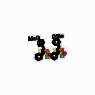 COc1ccc(Cc2sc3ccccc3c2S(=O)(=O)Cl)cc1.COc1ccc(Cc2sc3ccccc3c2S(=O)(=O)Cl)cc1